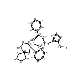 COc1ccsc1CN(CC[C@@]1(c2ccccn2)CCOC2(CCCC2)C1)OC(=O)c1ccccc1